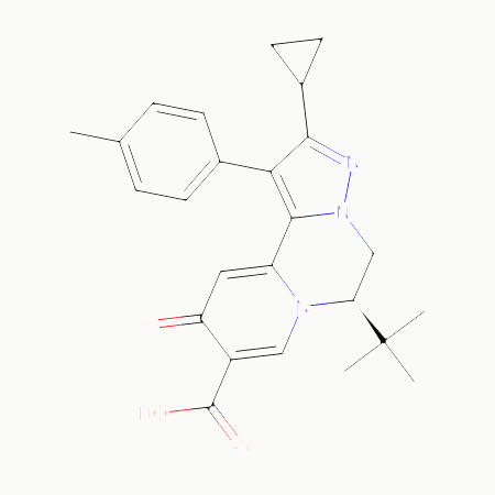 Cc1ccc(-c2c(C3CC3)nn3c2-c2cc(=O)c(C(=O)O)cn2[C@H](C(C)(C)C)C3)cc1